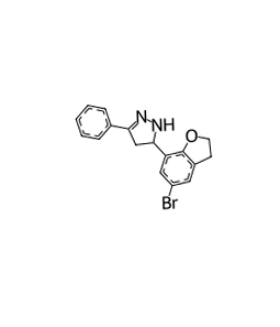 Brc1cc2c(c(C3CC(c4ccccc4)=NN3)c1)OCC2